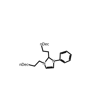 CCCCCCCCCCCCC1N(CCCCCCCCCCCC)C=CN1c1ccccc1